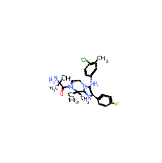 Cc1cc(Nc2c(-c3ccc(F)cc3)nc3n2CCN(C(=O)C(C)(C)N)C3(C)C)ccc1Cl